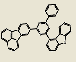 c1ccc(-c2nc(-c3ccc4c(c3)-c3cccc5cccc-4c35)nc(-c3cccc4oc5cnccc5c34)n2)cc1